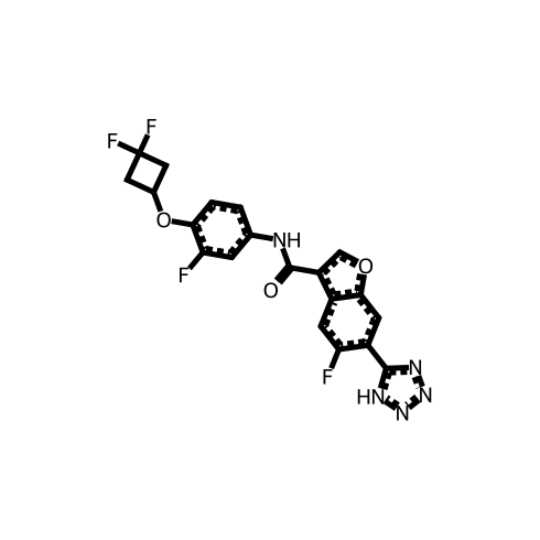 O=C(Nc1ccc(OC2CC(F)(F)C2)c(F)c1)c1coc2cc(-c3nnn[nH]3)c(F)cc12